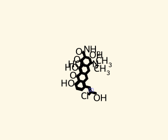 CN(C)C1C(O)C(C(N)=O)C(=O)[C@@]2(O)C(O)=C3C(=O)c4c(O)ccc(/C=C(\Cl)CO)c4CC3CC12